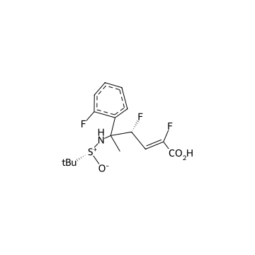 CC(N[S@+]([O-])C(C)(C)C)(c1ccccc1F)[C@H](F)C=C(F)C(=O)O